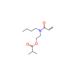 C=CC(=O)N(CCCC)CCOC(=O)C(C)C